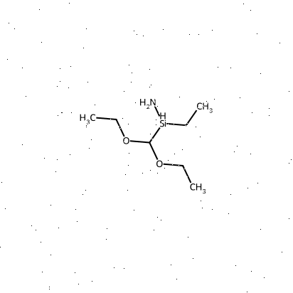 CCOC(OCC)[SiH](N)CC